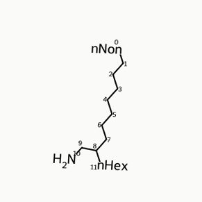 CCCCCCCCCCCCCCCCC(CN)CCCCCC